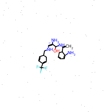 C=C(NC(O)/C(N)=C\NCC1C=CC(C(F)(F)F)=CC1)C1CC=CC=C1N